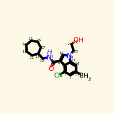 Bc1cc(Cl)c2c(C(=O)NCC3CCCCCC3)cn(CCO)c2c1